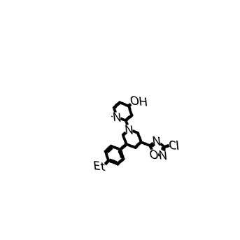 CCc1ccc(C2CC(c3nc(Cl)no3)CN(C3CC(O)CC[N]3)C2)cc1